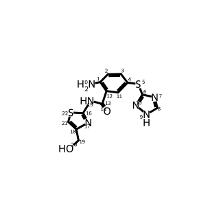 Nc1ccc(Sc2nc[nH]n2)cc1C(=O)Nc1nc(CO)cs1